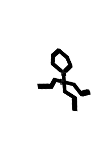 C=CC[Si](CC=C)(CC=C)N1CCCCC1